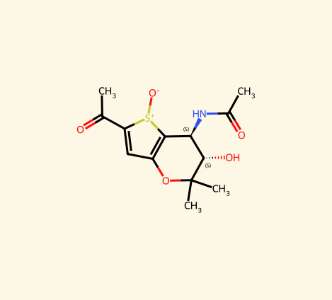 CC(=O)N[C@@H]1c2c(cc(C(C)=O)[s+]2[O-])OC(C)(C)[C@H]1O